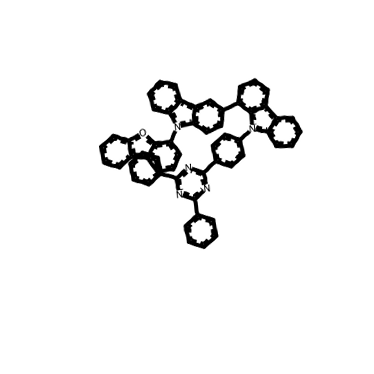 c1ccc(-c2nc(-c3ccccc3)nc(-c3ccc(-n4c5ccccc5c5cccc(-c6ccc7c(c6)c6ccccc6n7-c6cccc7c6oc6ccccc67)c54)cc3)n2)cc1